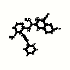 CC(Nc1ncnc(N)c1C#Cc1cnccn1)c1nc2ccc(F)cc2c(=O)[nH]1